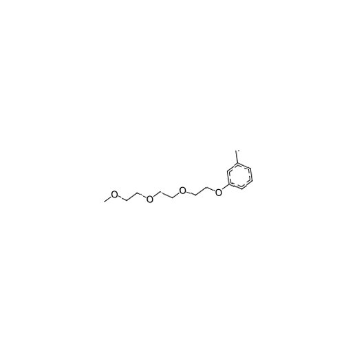 [CH2]c1cccc(OCCOCCOCCOC)c1